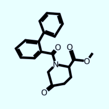 COC(=O)C1CCC(=O)CN1C(=O)c1ccccc1-c1ccccc1